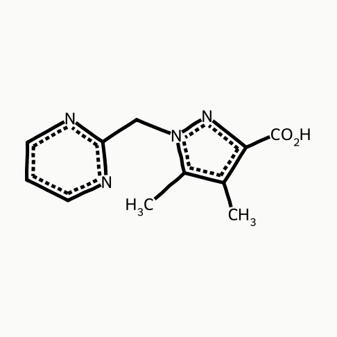 Cc1c(C(=O)O)nn(Cc2ncccn2)c1C